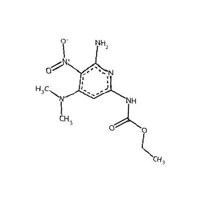 CCOC(=O)Nc1cc(N(C)C)c([N+](=O)[O-])c(N)n1